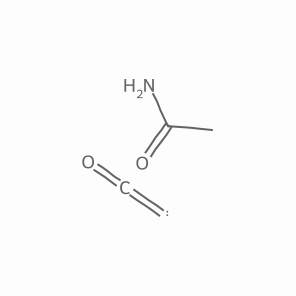 CC(N)=O.[C]=C=O